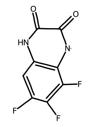 O=C1[N]c2c(cc(F)c(F)c2F)NC1=O